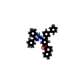 c1ccc(-c2ccc3c(c2)c2cc4c(cc2n3-c2nc(-c3ccccc3)c3ccccc3n2)oc2c3ccccc3ccc42)cc1